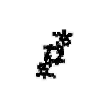 Nc1nc2c(ncn2[C@@H]2C[C@@H]3COP(=O)(O)OC4C(F)[C@H](n5cnc6c(=O)[nH]c(N)nc65)O[C@@H]4COP(=O)(O)OC3C2F)c(=O)[nH]1